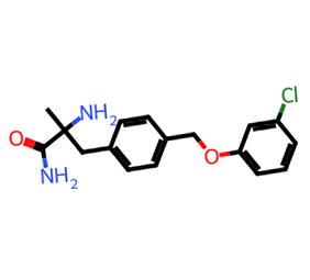 CC(N)(Cc1ccc(COc2cccc(Cl)c2)cc1)C(N)=O